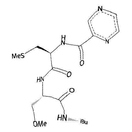 CC[C@@H](C)NC(=O)[C@H](COC)NC(=O)[C@@H](CSC)NC(=O)c1cnccn1